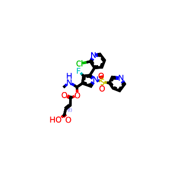 CNC(OC(=O)/C=C/C(=O)O)c1cn(S(=O)(=O)c2cccnc2)c(-c2cccnc2Cl)c1F